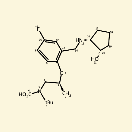 C[C@@H](CN(C(=O)O)C(C)(C)C)Oc1ccc(F)cc1CN[C@@H]1CCC[C@@H]1O